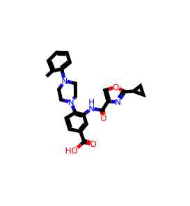 Cc1ccccc1N1CCN(c2ccc(C(=O)O)cc2NC(=O)c2coc(C3CC3)n2)CC1